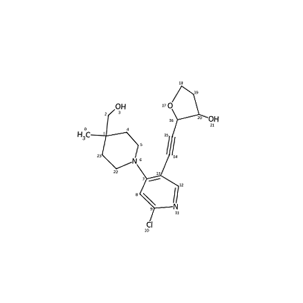 CC1(CO)CCN(c2cc(Cl)ncc2C#CC2OCCC2O)CC1